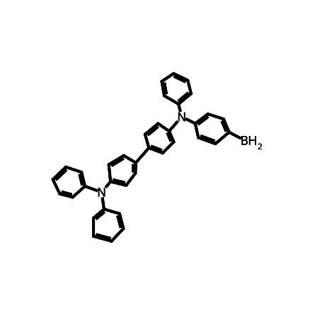 Bc1ccc(N(c2ccccc2)c2ccc(-c3ccc(N(c4ccccc4)c4ccccc4)cc3)cc2)cc1